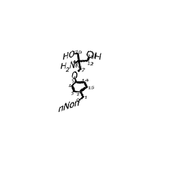 CCCCCCCCCCc1ccc(OCC(N)(CO)CO)cc1